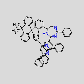 CC1(C)c2ccccc2C2(c3ccc(-c4cc(C5=CC=CCC5)nc(-c5ccccc5)n4)cc3-c3c(C4CN=C(c5ccccc5)N=C(c5ccc(-c6ccccc6)cc5)N4)cccc32)c2ccccc21